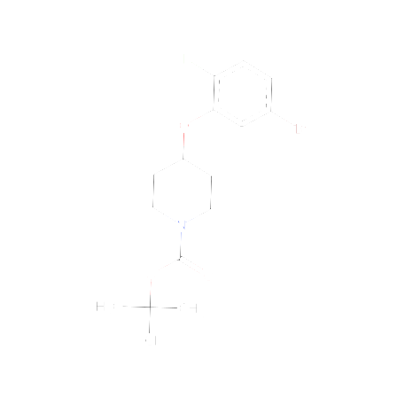 CC(C)(C)OC(=O)N1CCC(Oc2cc(Br)ccc2F)CC1